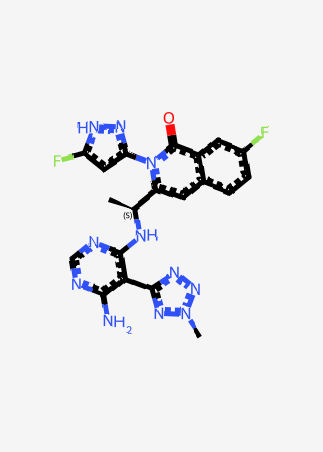 C[C@H](Nc1ncnc(N)c1-c1nnn(C)n1)c1cc2ccc(F)cc2c(=O)n1-c1cc(F)[nH]n1